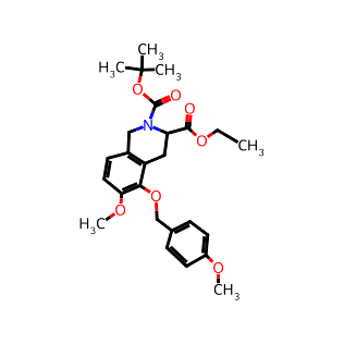 CCOC(=O)C1Cc2c(ccc(OC)c2OCc2ccc(OC)cc2)CN1C(=O)OC(C)(C)C